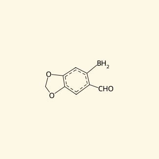 Bc1cc2c(cc1C=O)OCO2